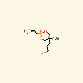 C=CCP1(=O)OCC(CCCC)(CCCO)CO1